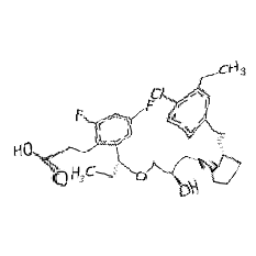 CCc1cc(C[C@@H]2CCCN2C[C@@H](O)CO[C@H](CC)c2cc(F)cc(F)c2CCC(=O)O)ccc1Cl